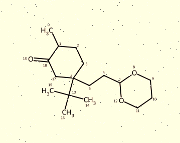 CC1CCC(CCC2OCCCO2)(C(C)(C)C)CC1=O